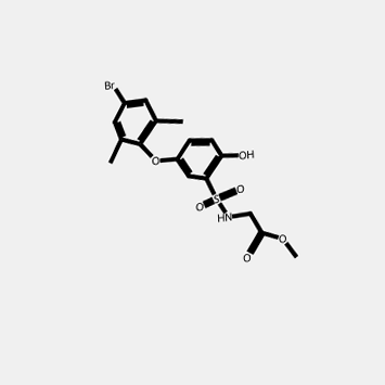 COC(=O)CNS(=O)(=O)c1cc(Oc2c(C)cc(Br)cc2C)ccc1O